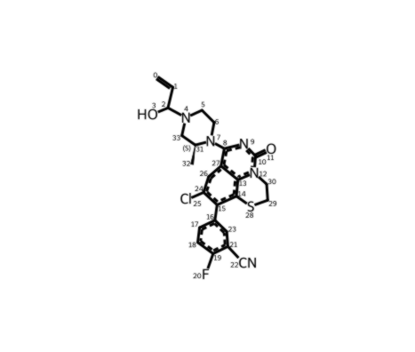 C=CC(O)N1CCN(c2nc(=O)n3c4c(c(-c5ccc(F)c(C#N)c5)c(Cl)cc24)SCC3)[C@@H](C)C1